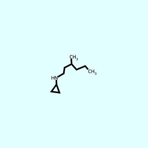 CCCC(C)CCNC1CC1